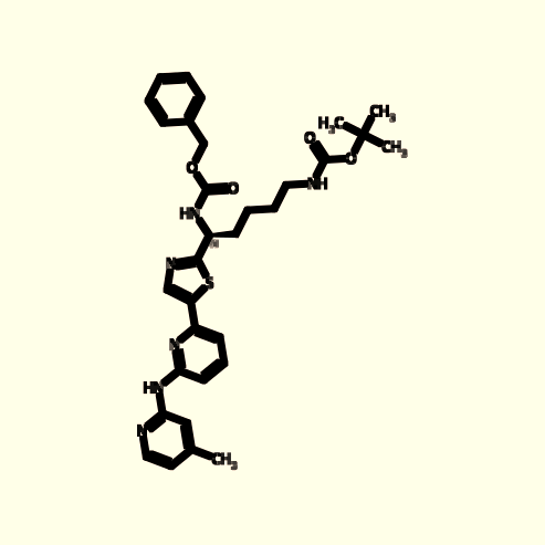 Cc1ccnc(Nc2cccc(-c3cnc([C@H](CCCCNC(=O)OC(C)(C)C)NC(=O)OCc4ccccc4)s3)n2)c1